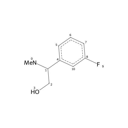 CNC(CO)c1cccc(F)c1